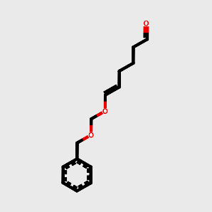 O=CCCCC=COCOCc1ccccc1